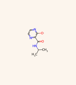 CC(C)NC(=O)c1nccnc1[O]